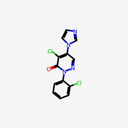 O=c1c(Cl)c(-n2ccnc2)cnn1-c1ccccc1Cl